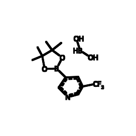 CC1(C)OB(c2cncc(C(F)(F)F)c2)OC1(C)C.OBO